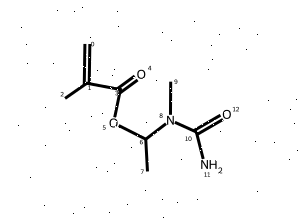 C=C(C)C(=O)OC(C)N(C)C(N)=O